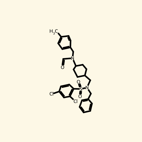 Cc1ccc(CN(C=O)C2CCC(CN(Cc3ccccc3)S(=O)(=O)c3ccc(Cl)cc3Cl)CC2)cc1